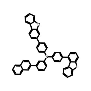 c1cc(-c2ccc3ccccc3c2)cc(N(c2ccc(-c3ccc4c(c3)oc3ccccc34)cc2)c2ccc(-c3cccc4oc5ccccc5c34)cc2)c1